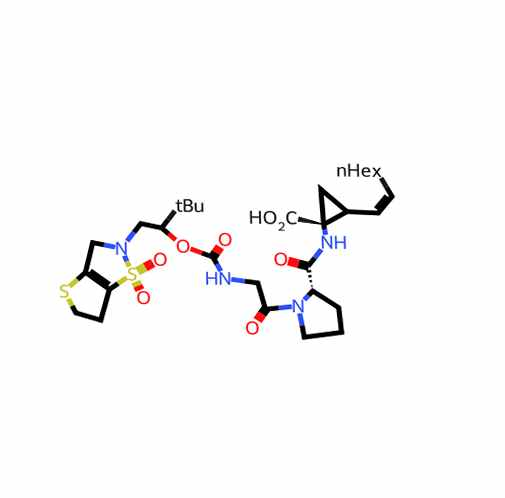 CCCCCC/C=C\C1C[C@]1(NC(=O)[C@@H]1CCCN1C(=O)CNC(=O)OC(CN1CC2=C(CCS2)S1(=O)=O)C(C)(C)C)C(=O)O